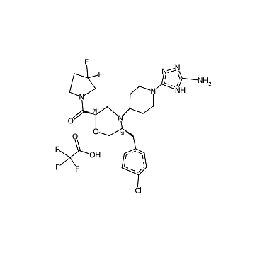 Nc1nnc(N2CCC(N3C[C@H](C(=O)N4CCC(F)(F)C4)OC[C@@H]3Cc3ccc(Cl)cc3)CC2)[nH]1.O=C(O)C(F)(F)F